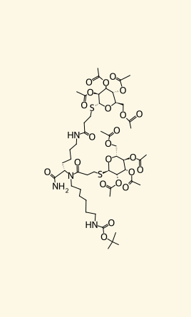 CC(=O)OC[C@H]1O[C@H](SCCC(=O)NCCCC[C@@H](C(N)=O)N(CCCCCCNC(=O)OC(C)(C)C)C(=O)CCS[C@H]2O[C@H](COC(C)=O)[C@@H](OC(C)=O)[C@H](OC(C)=O)[C@@H]2OC(C)=O)[C@@H](OC(C)=O)[C@@H](OC(C)=O)[C@@H]1OC(C)=O